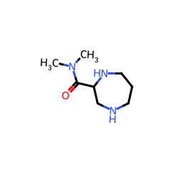 CN(C)C(=O)C1CNCCCN1